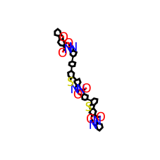 O=c1c2cc3c(cc2oc2nc4ccccc4n12)sc1c(-c2ccc4oc5nc6c7sc8ccc(-c9ccc(-c%10ccc%11nc%12oc%13c(ccc%14c%15ccccc%15oc%14%13)c(=O)n%12c%11c%10)cc9)cc8c7ccc6n5c(=O)c4c2)cccc13